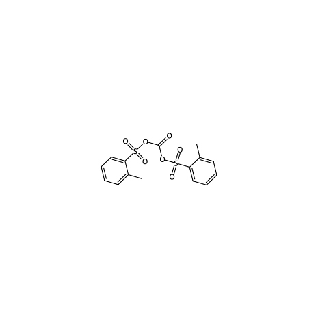 Cc1ccccc1S(=O)(=O)OC(=O)OS(=O)(=O)c1ccccc1C